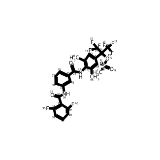 Cc1cc(C(OS(C)(=O)=O)(C(F)(F)F)C(F)(F)F)cc(C)c1NC(=O)c1cccc(NC(=O)c2c(F)cccc2F)c1